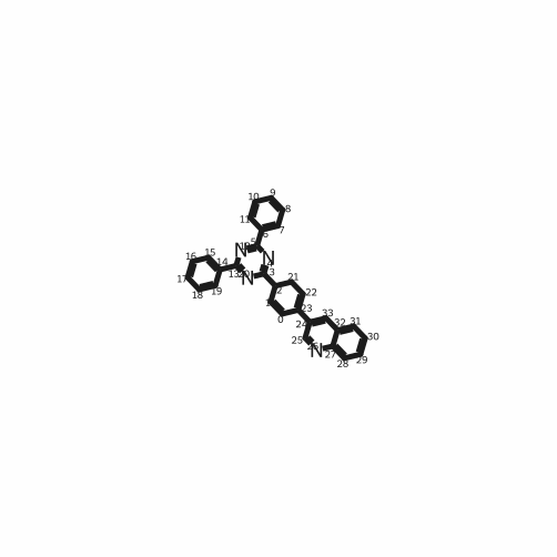 C1=CC(c2nc(-c3ccccc3)nc(-c3ccccc3)n2)CC=C1c1cnc2ccccc2c1